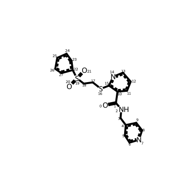 O=C(NCc1ccncc1)c1cccnc1SCCS(=O)(=O)c1ccccc1